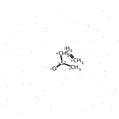 C=C.C[S+](C)[O-]